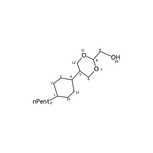 CCCCCC1CCC(C2COC(CO)OC2)CC1